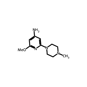 COc1cc(N)cc(N2CCN(C)CC2)n1